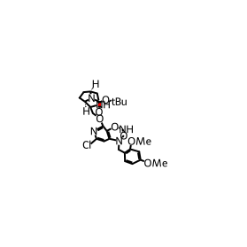 COc1ccc(Cn2o[nH]oc3c(OCC4NC[C@@H]5CC[C@H]4N5C(=O)OC(C)(C)C)nc(Cl)cc32)c(OC)c1